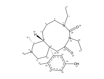 CCN1CCC[C@H]2[C@@H](C)N(C)CC[C@]2(c2cc(O)ccc2C)CC(=O)N(CC)C1=O